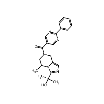 C[C@H]1CN(C(=O)c2cnc(-c3ccccc3)nc2)Cc2cnc([C@@](C)(O)C(F)(F)F)n21